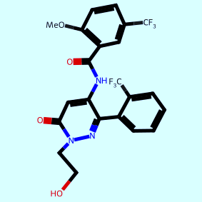 COc1ccc(C(F)(F)F)cc1C(=O)Nc1cc(=O)n(CCO)nc1-c1ccccc1C(F)(F)F